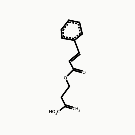 C=C(CCOC(=O)/C=C/c1ccccc1)C(=O)O